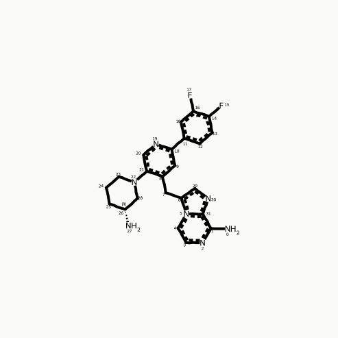 Nc1nccn2c(Cc3cc(-c4ccc(F)c(F)c4)ncc3N3CCC[C@@H](N)C3)cnc12